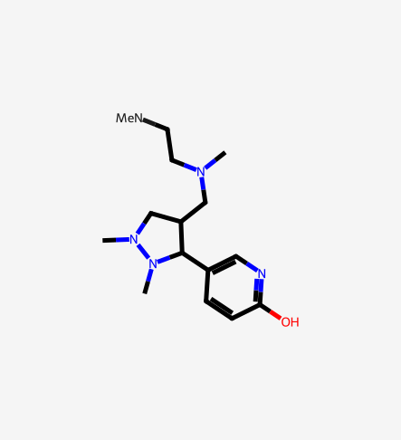 CNCCN(C)CC1CN(C)N(C)C1c1ccc(O)nc1